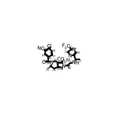 CC(NC[C@@H](C)n1nc2c(c1C(=O)O)CN(C(=O)c1ccc(Cl)c(C#N)c1)[C@H](C)C2)c1cnc(C(F)(F)F)cn1